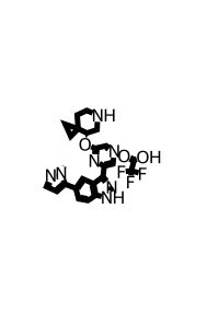 Cn1nccc1-c1ccc2[nH]nc(-c3cncc(O[C@H]4CNCCC45CC5)n3)c2c1.O=C(O)C(F)(F)F